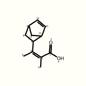 CC(C(=O)O)=C(C)C1CC2C=CC1C2